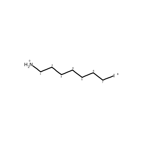 NCCCCCCCI